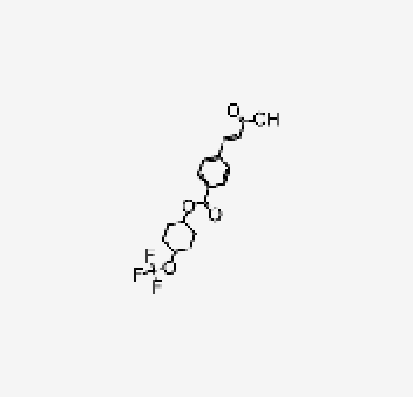 O=C(O)/C=C/c1ccc(C(=O)OC2CCC(OC(F)(F)F)CC2)cc1